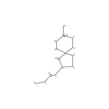 CCOCC1CCC2(CCN(C)CC2)O1